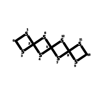 C1SC2(S1)SC1(S2)SC2(SCS2)S1